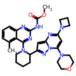 COC(=O)Nc1nc(N2CCCCC2c2cc3nc(N4CCC4)cc(N4CCOCC4)n3n2)c2c(C)cccc2n1